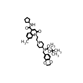 Cc1ccc2c(C(=O)NC3CCCC3)cc(=O)n(CCN3CCC(N(Cc4ccc5c(c4)OCCO5)C(=O)OC(C)(C)C)CC3)c2c1